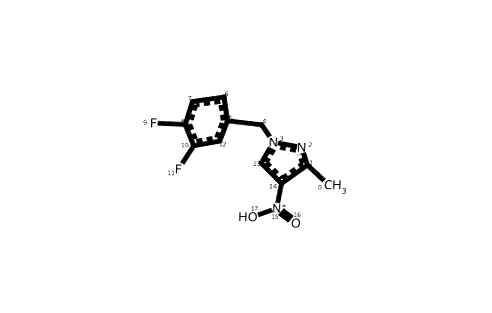 Cc1nn(Cc2ccc(F)c(F)c2)cc1[N+](=O)O